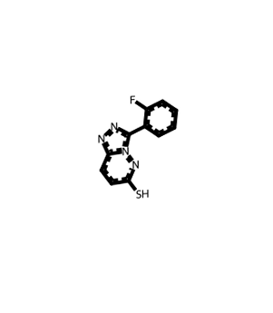 Fc1ccccc1-c1nnc2ccc(S)nn12